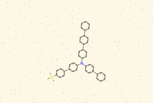 CS(C)(C)c1ccc(-c2ccc(N(c3ccc(-c4ccccc4)cc3)c3ccc(-c4ccc(-c5ccccc5)cc4)cc3)cc2)cc1